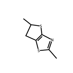 Cc1nc2c(s1)CC(C)S2